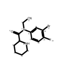 N#CCN(C(=O)C1CCCCN1)c1ccc(F)c(Br)c1